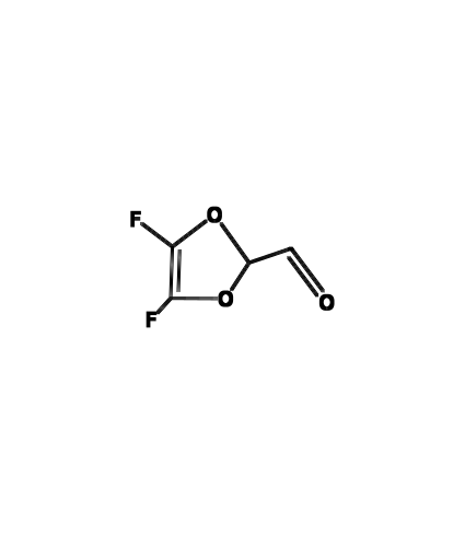 O=CC1OC(F)=C(F)O1